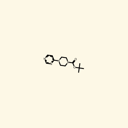 CC(C)(C)OC(=O)N1CCN(c2ccncn2)CC1